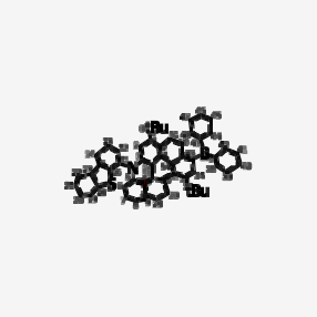 CC(C)(C)c1cc(N(c2ccccc2)c2cccc3c2sc2ccccc23)c2c3ccccc3c3c(C(C)(C)C)cc(B(c4ccccc4)c4ccccc4)c4ccc1c2c43